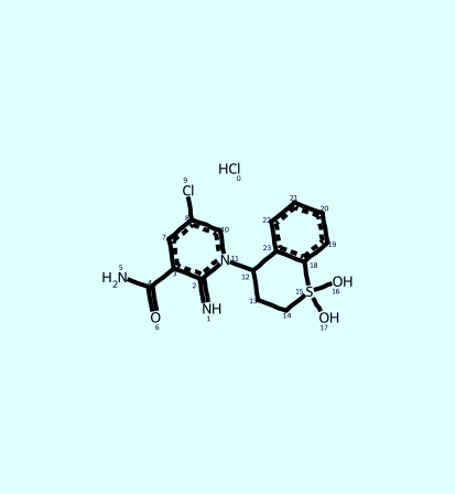 Cl.N=c1c(C(N)=O)cc(Cl)cn1C1CCS(O)(O)c2ccccc21